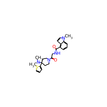 CN(C)C1(c2cccs2)CCN(C(=O)CNC(=O)c2cccc3c2ccn3C)CC1